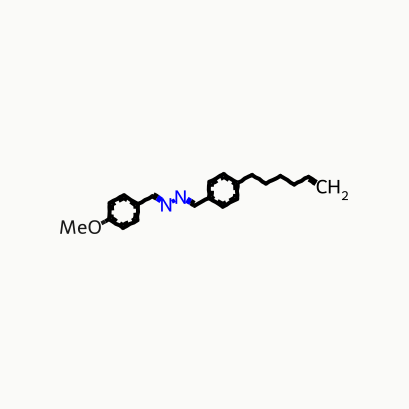 C=CCCCCc1ccc(/C=N/N=C/c2ccc(OC)cc2)cc1